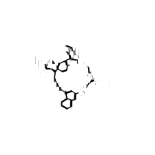 Cc1oc2nc1CSc1cc(c3ccccc3c1)OCCCc1c(C(=O)O)n(C)c3c(c(Cl)ccc13)-c1c(nn3c1OCC3)CSC2